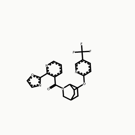 O=C(c1cccnc1-c1ncco1)N1CC2CCC1C(Oc1ccc(C(F)(F)F)cn1)C2